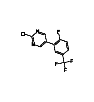 Fc1ccc(C(F)(F)F)cc1-c1cnc(Cl)nc1